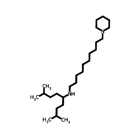 CC(C)CCC(CCC(C)C)NCCCCCCCCCCN1CCCCC1